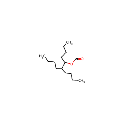 CCCCC(CCCC)C(CCCC)OC=O